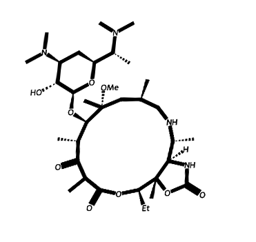 CC[C@H]1OC(=O)C(C)C(=O)[C@H](C)[C@@H](O[C@@H]2O[C@H]([C@@H](C)N(C)C)C[C@H](N(C)C)[C@H]2O)[C@](C)(OC)C[C@@H](C)CN[C@H](C)[C@H]2NC(=O)O[C@@]21C